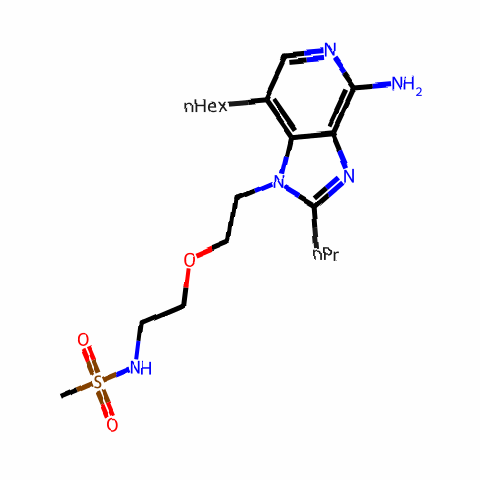 CCCCCCc1cnc(N)c2nc(CCC)n(CCOCCNS(C)(=O)=O)c12